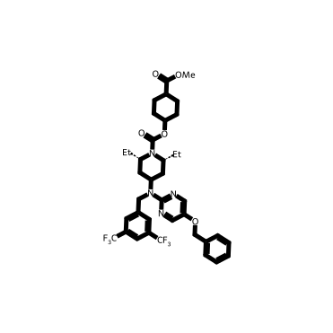 CC[C@@H]1CC(N(Cc2cc(C(F)(F)F)cc(C(F)(F)F)c2)c2ncc(OCc3ccccc3)cn2)C[C@H](CC)N1C(=O)OC1CCC(C(=O)OC)CC1